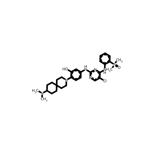 CN(C)C1CCC2(CC1)CCN(c1ccc(Nc3ncc(Cl)c(Nc4ccccc4P(C)(C)=O)n3)cc1O)CC2